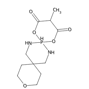 CC1C(=O)O[PH]2(NCC3(CCOCC3)CN2)OC1=O